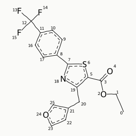 CCOC(=O)c1sc(-c2ccc(C(F)(F)F)cc2)nc1Cc1ccoc1